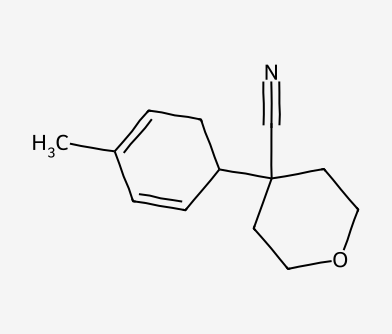 CC1=CCC(C2(C#N)CCOCC2)C=C1